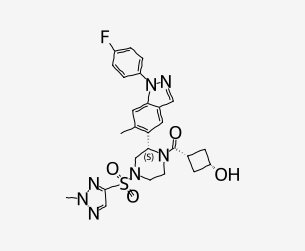 Cc1cc2c(cnn2-c2ccc(F)cc2)cc1[C@H]1CN(S(=O)(=O)c2cnn(C)n2)CCN1C(=O)[C@H]1C[C@@H](O)C1